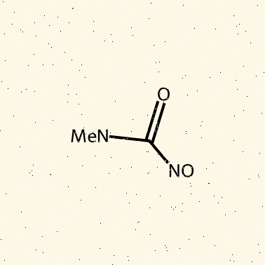 CNC(=O)N=O